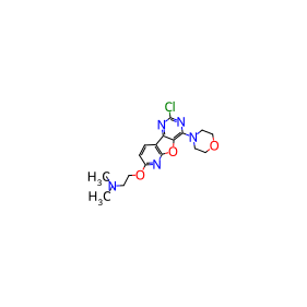 CN(C)CCOc1ccc2c(n1)oc1c(N3CCOCC3)nc(Cl)nc12